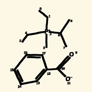 CC[P+](C)(CC)C(C)C.O=C([O-])c1ccccc1